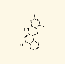 Cc1cc(C)nc(NC2=CC(=O)c3ccccc3C2=O)n1